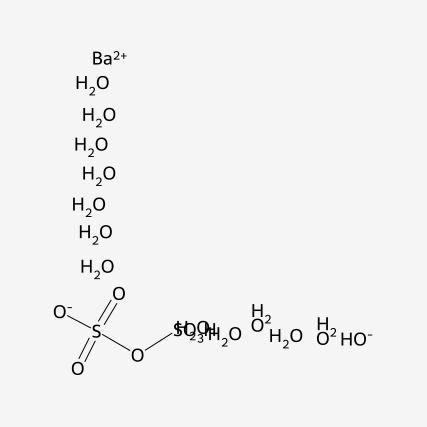 O.O.O.O.O.O.O.O.O.O.O.O.O=S(=O)([O-])OS(=O)(=O)O.[Ba+2].[OH-]